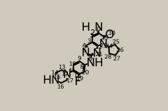 Nc1cc2cnc(Nc3ccc(N4CCNCC4)c(F)c3)nc2n(C2CCCC2)c1=O